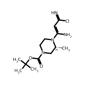 C[C@@H]1CN(C(=O)OC(C)(C)C)CCN1/C(N)=C/C(=N)Cl